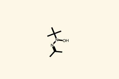 CC(C)=NN(O)C(C)(C)C